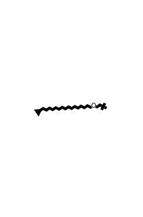 CC(C)(C)CCOCCCCCCCCCCCCCCCCC1CC1